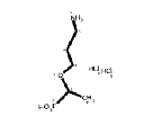 CC(OCCCN)C(=O)O.Cl.Cl